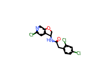 O=C(Cc1ccc(Cl)cc1Cl)NC1COc2cnc(Cl)cc21